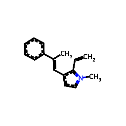 C=Cc1c(/C=C(\C)c2ccccc2)ccn1C